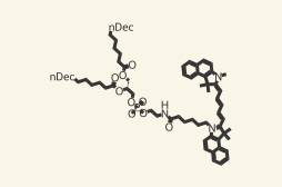 CCCCCCCCCCCCCCCC(=O)OC[C@H](COP(=O)([O-])OCCNC(=O)CCCCC[N+]1=C(/C=C/C=C/C=C2/N(C)c3ccc4ccccc4c3C2(C)C)C(C)(C)c2c1ccc1ccccc21)OC(=O)CCCCCCCCCCCCCCC